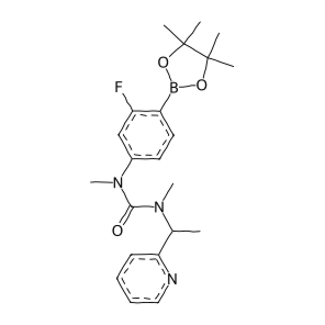 CC(c1ccccn1)N(C)C(=O)N(C)c1ccc(B2OC(C)(C)C(C)(C)O2)c(F)c1